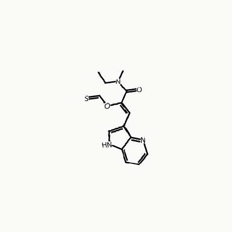 CCN(C)C(=O)/C(=C/c1c[nH]c2cccnc12)OC=S